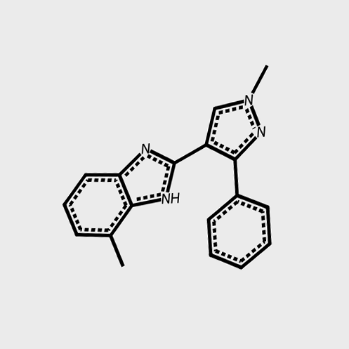 Cc1cccc2nc(-c3cn(C)nc3-c3ccccc3)[nH]c12